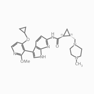 COc1nccc(OC2CC2)c1-c1c[nH]c2nc(NC(=O)[C@H]3C[C@@H]3CN3CCN(C)CC3)ccc12